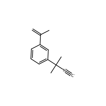 [C-]#[N+]C(C)(C)c1cccc(C(=C)C)c1